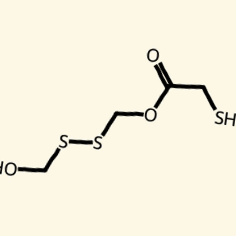 O=C(CS)OCSSCO